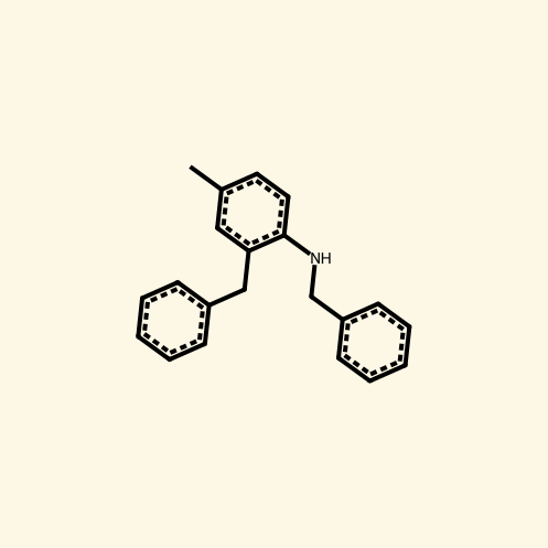 Cc1ccc(NCc2ccccc2)c(Cc2ccccc2)c1